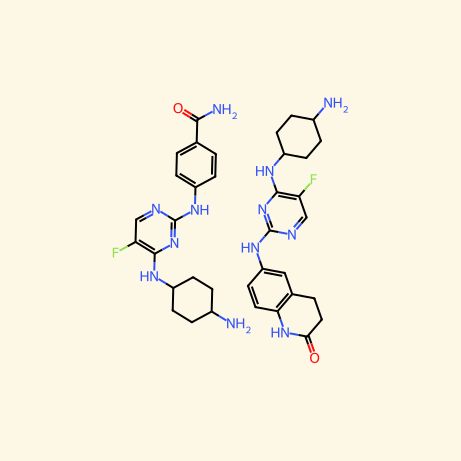 NC(=O)c1ccc(Nc2ncc(F)c(NC3CCC(N)CC3)n2)cc1.NC1CCC(Nc2nc(Nc3ccc4c(c3)CCC(=O)N4)ncc2F)CC1